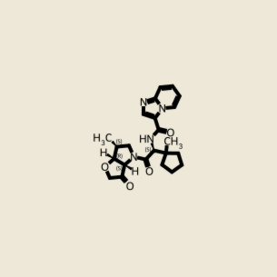 C[C@H]1CN(C(=O)[C@@H](NC(=O)c2cnc3ccccn23)C2(C)CCCC2)[C@@H]2C(=O)CO[C@@H]21